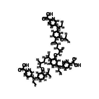 CCN(c1cnc(C(=O)O)nc1)c1ccc(C(C)C)c(OCC(C)CCC(C)c2ccc(N(CC)c3ccc(C(=O)O)nn3)cc2OCC(C)CCC(C)c2ccc(N(CC)c3cnc(C(=O)O)nc3)cc2OC(C)C)c1